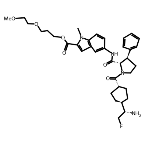 COCCOCCCOC(=O)c1cc2cc(NC(=O)[C@@H]3[C@@H](c4ccccc4)CCN3C(=O)[C@H]3CC[C@H]([C@H](N)CF)CC3)ccc2n1C